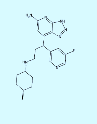 C[C@H]1CC[C@H](NCCC(c2cncc(F)c2)c2cc(N)nc3[nH]nnc23)CC1